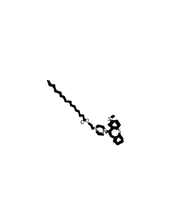 CCCCCCCCCCCCCCCC(=O)OCCCN1CCN(C2Cc3ccccc3Sc3ccc(SC)cc32)CC1